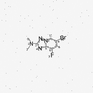 CN(C)c1nc2c(F)cc(Br)cn2n1